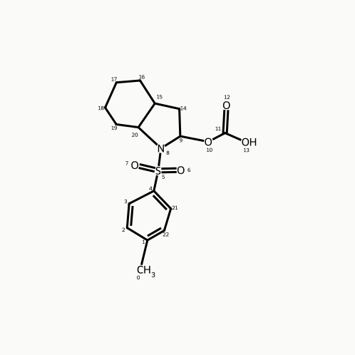 Cc1ccc(S(=O)(=O)N2C(OC(=O)O)CC3CCCCC32)cc1